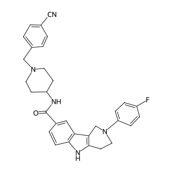 N#Cc1ccc(CN2CCC(NC(=O)c3ccc4[nH]c5c(c4c3)CN(c3ccc(F)cc3)CC5)CC2)cc1